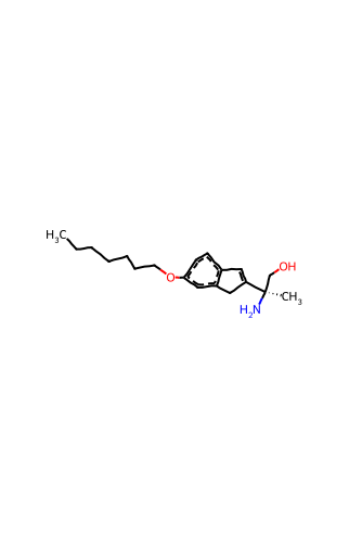 CCCCCCCOc1ccc2c(c1)CC([C@](C)(N)CO)=C2